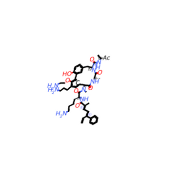 C=C/C(=C\C=C(/C)C(=O)N[C@@H](CCCCN)C(=O)N(C)[C@@H]1C(=O)N[C@@H](C)C(=O)N[C@H](C(=O)N[C@@H](C)C(C)=O)Cc2ccc(O)c(c2)-c2cc1cc(CCCN)c2OCCN)c1ccccc1